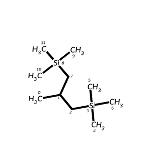 CC(C[Si](C)(C)C)C[Si](C)(C)C